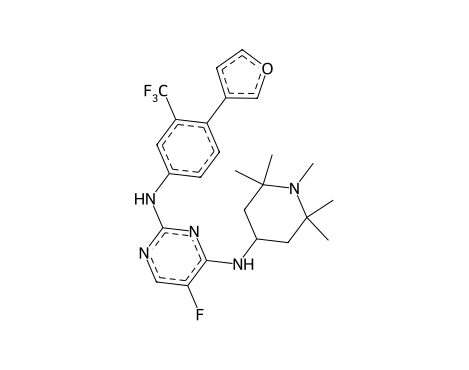 CN1C(C)(C)CC(Nc2nc(Nc3ccc(-c4ccoc4)c(C(F)(F)F)c3)ncc2F)CC1(C)C